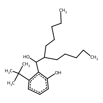 CCCCCC(CCCCC)C(O)c1c(O)cccc1C(C)(C)C